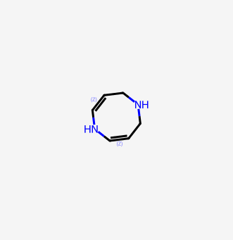 C1=C\N/C=C\CNC/1